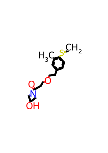 C=CSc1ccc(CCOCCC(=O)N2CC(O)C2)cc1C